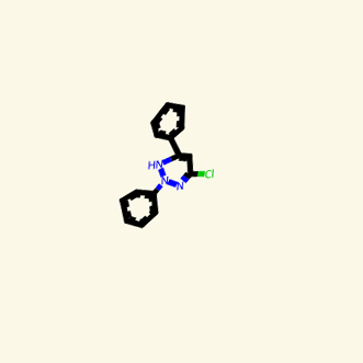 ClC1=NN(c2ccccc2)NC(c2ccccc2)=C1